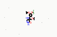 CC(C)OCc1c(-c2ccc(OC(F)F)c(OC3CC3)c2)[nH]c2cn[nH]c(=O)c12